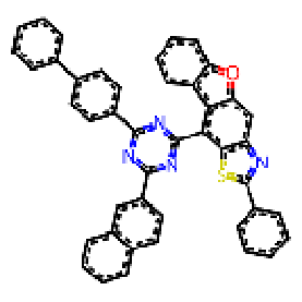 c1ccc(-c2ccc(-c3nc(-c4ccc5ccccc5c4)nc(-c4c5sc(-c6ccccc6)nc5cc5oc6ccccc6c45)n3)cc2)cc1